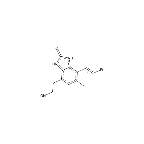 CC/C=C/c1c(C)cc(CCN=O)c2[nH]c(=O)[nH]c12